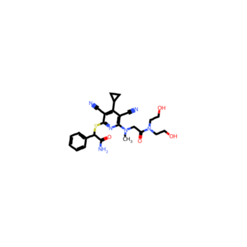 CN(CC(=O)N(CCO)CCO)c1nc(SC(C(N)=O)c2ccccc2)c(C#N)c(C2CC2)c1C#N